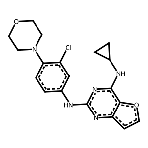 Clc1cc(Nc2nc(NC3CC3)c3occc3n2)ccc1N1CCOCC1